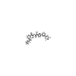 C[C@@H]1CN(c2cccc(-c3csc(NC(=O)CNC(=O)c4cccc(C5(F)CC6(COC6)C5)c4)n3)n2)C[C@H](C)O1